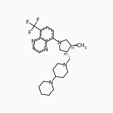 C[C@@H]1CN(c2ccc(C(F)(F)F)c3nccnc23)C[C@H]1CN1CCC(N2CCCCC2)CC1